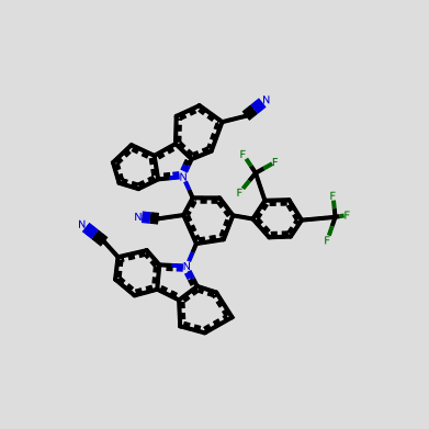 N#Cc1ccc2c3ccccc3n(-c3cc(-c4ccc(C(F)(F)F)cc4C(F)(F)F)cc(-n4c5ccccc5c5ccc(C#N)cc54)c3C#N)c2c1